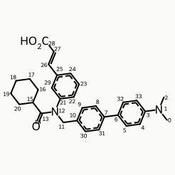 CN(C)c1ccc(-c2ccc(CN(C(=O)C3CCCCC3)c3cccc(C=CC(=O)O)c3)cc2)cc1